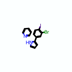 Brc1cc(-c2ccc[nH]2)ccc1I.c1ccncc1